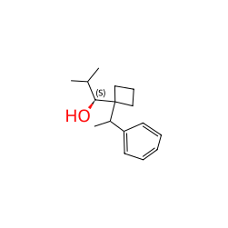 CC(C)[C@H](O)C1(C(C)c2ccccc2)CCC1